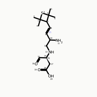 CC1(C)SC(C)(C)C1/C=C/C(N)CN[C@H](C=O)CC(=O)O